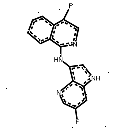 Fc1cnc2c(Nc3ncc(F)c4ccccc34)c[nH]c2c1